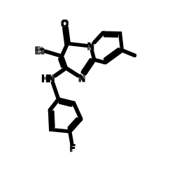 CCc1c(Nc2ccc(F)cc2)nc2cc(C)ccn2c1=O